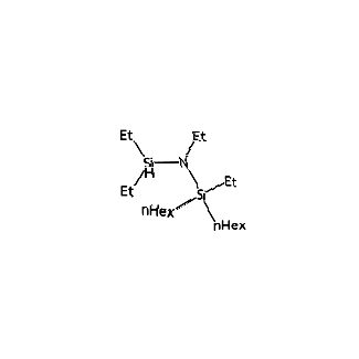 CCCCCC[Si](CC)(CCCCCC)N(CC)[SiH](CC)CC